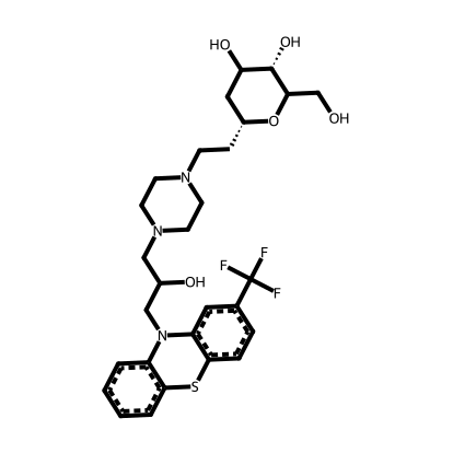 OCC1O[C@H](CCN2CCN(CC(O)CN3c4ccccc4Sc4ccc(C(F)(F)F)cc43)CC2)CC(O)[C@@H]1O